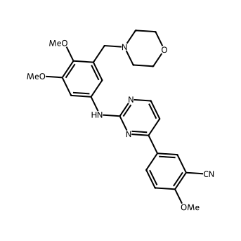 COc1ccc(-c2ccnc(Nc3cc(CN4CCOCC4)c(OC)c(OC)c3)n2)cc1C#N